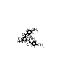 Cc1ccc(C(=O)C(O)[C@@H]2O[C@](O)(Cl)C[C@]2(O)C(=O)c2ccc(C)cc2)cc1